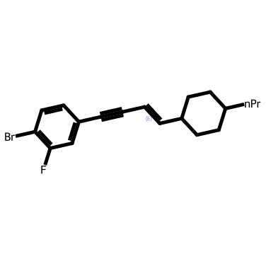 CCCC1CCC(/C=C/C#Cc2ccc(Br)c(F)c2)CC1